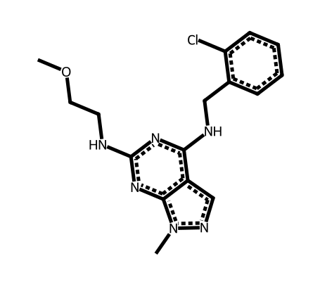 COCCNc1nc(NCc2ccccc2Cl)c2cnn(C)c2n1